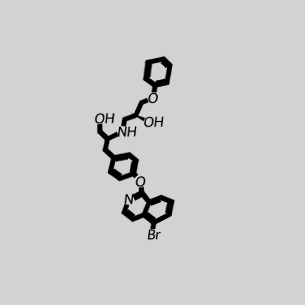 OCC(Cc1ccc(Oc2nccc3c(Br)cccc23)cc1)NC[C@H](O)COc1ccccc1